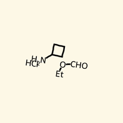 CCOC=O.Cl.NC1CCC1